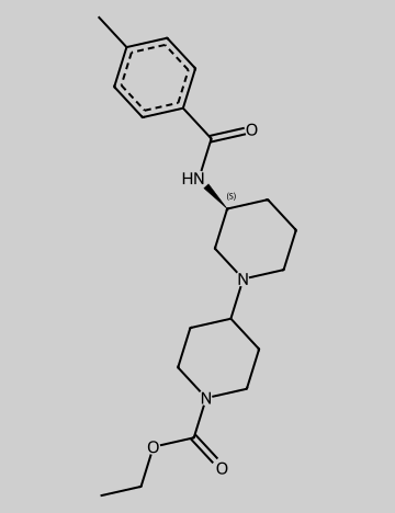 CCOC(=O)N1CCC(N2CCC[C@H](NC(=O)c3ccc(C)cc3)C2)CC1